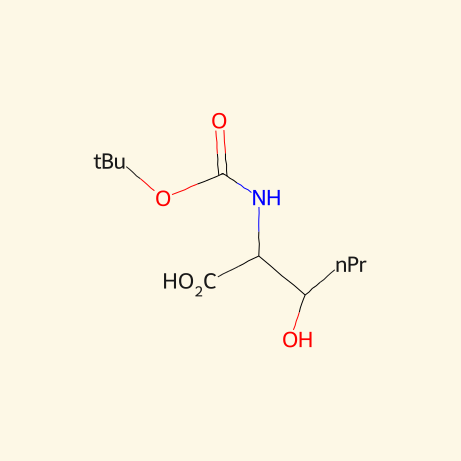 CCCC(O)C(NC(=O)OC(C)(C)C)C(=O)O